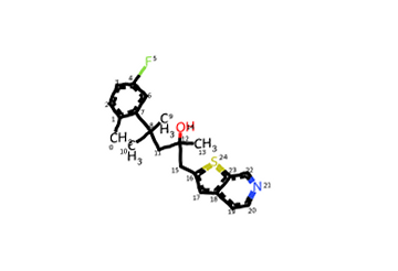 Cc1ccc(F)cc1C(C)(C)CC(C)(O)Cc1cc2ccncc2s1